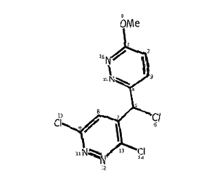 COc1ccc(C(Cl)c2cc(Cl)nnc2Cl)nn1